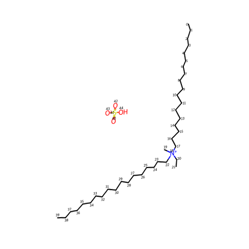 CCCCCCCCCCCCCCCCCC[N+](C)(CC)CCCCCCCCCCCCCCCCCC.O=S(=O)([O-])O